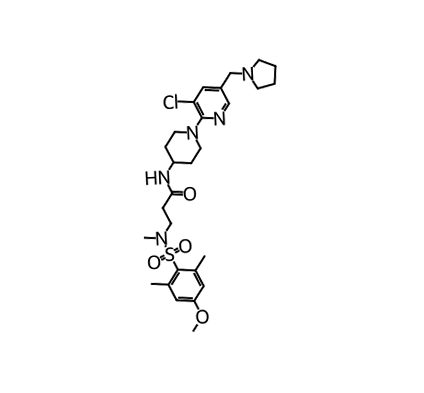 COc1cc(C)c(S(=O)(=O)N(C)CCC(=O)NC2CCN(c3ncc(CN4CCCC4)cc3Cl)CC2)c(C)c1